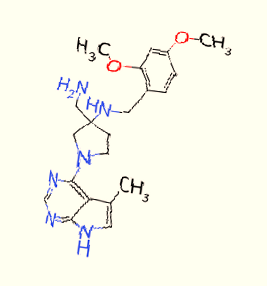 COc1ccc(CNC2(CN)CCN(c3ncnc4[nH]cc(C)c34)C2)c(OC)c1